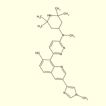 CN(c1ccc(-c2c(O)ccc3cc(-c4cn(C)cn4)cnc23)nn1)C1CC(C)(C)NC(C)(C)C1